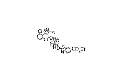 CCOC(=O)c1ccc2nc(O[C@@H]3CO[C@H]4[C@@H]3OC[C@@H]4OCc3c(-c4c(Cl)cccc4Cl)noc3C3CC3)sc2c1